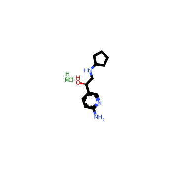 Cl.Cl.Nc1ccc([C@@H](O)CNC2CCCC2)cn1